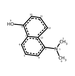 CN(C)c1cccc2c(O)cccc12